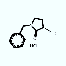 Cl.N[C@H]1CCN(Cc2ccccc2)C1=O